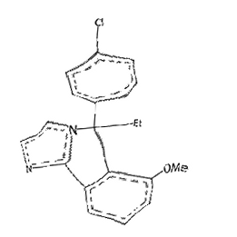 CCC1(c2ccc(Cl)cc2)c2c(OC)cccc2-c2nccn21